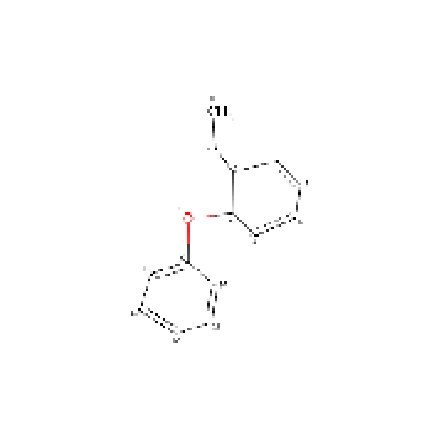 CCc1ccc[c]c1Oc1ccccc1